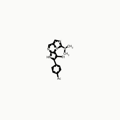 CCc1c(-c2ccc(C(C)=O)cc2)[nH]c2ncc3cnc(N(C)C)n3c12